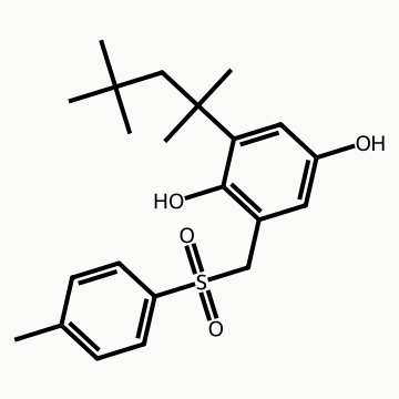 Cc1ccc(S(=O)(=O)Cc2cc(O)cc(C(C)(C)CC(C)(C)C)c2O)cc1